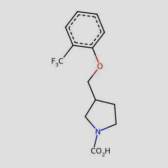 O=C(O)N1CCC(COc2ccccc2C(F)(F)F)C1